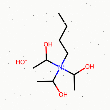 CCCC[N+](C(C)O)(C(C)O)C(C)O.[OH-]